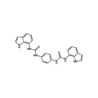 S=C(Nc1ccc(NC(=S)Nc2cccc3cc[nH]c23)cc1)Nc1cccc2cc[nH]c12